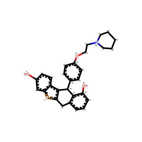 Oc1ccc2c3c(sc2c1)Cc1cccc(O)c1C3c1ccc(OCCN2CCCCC2)cc1